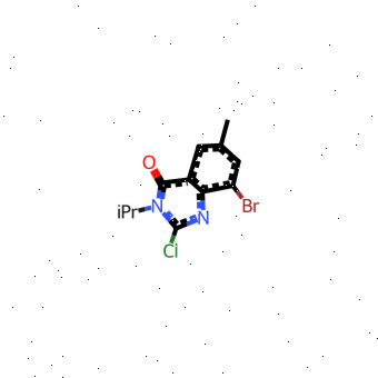 Cc1cc(Br)c2nc(Cl)n(C(C)C)c(=O)c2c1